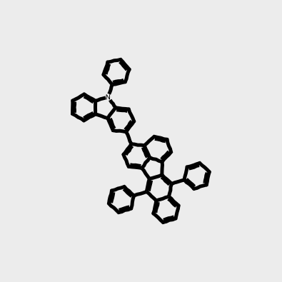 c1ccc(-c2c3c(c(-c4ccccc4)c4ccccc24)-c2ccc(-c4ccc5c(c4)c4ccccc4n5-c4ccccc4)c4cccc-3c24)cc1